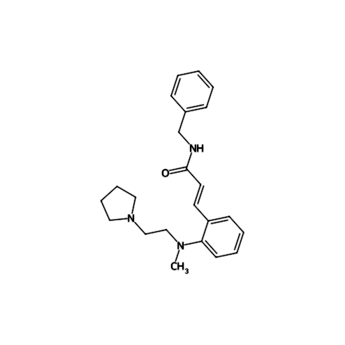 CN(CCN1CCCC1)c1ccccc1C=CC(=O)NCc1ccccc1